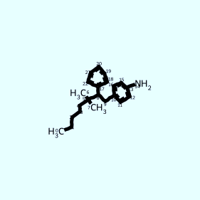 CCCCCC(C)(C)C(Cc1ccc(N)cc1)c1ccccc1